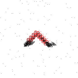 [O-]B([O-])[O-].[O-]B([O-])[O-].[O-]B([O-])[O-].[O-]B([O-])[O-].[O-]B([O-])[O-].[O-]B([O-])[O-].[O-]B([O-])[O-].[O-]B([O-])[O-].[Sn+4].[Sn+4].[Sn+4].[Zn+2].[Zn+2].[Zn+2].[Zn+2].[Zn+2].[Zn+2]